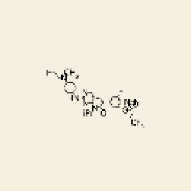 CC(C)n1c(=O)c(-c2ccc(NS(=O)(=O)CCC(F)(F)F)c(F)c2)cc2cnc(NC3CCC(N(C)CCF)CC3)nc21